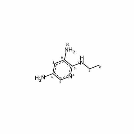 CCNc1ncc(N)cc1N